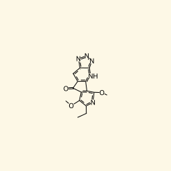 CCc1nc(OC)c2c(c1OC)C(=O)c1cc3nnnc-3[nH]c1-2